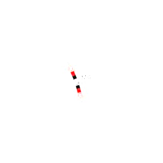 O=[Si]=O.[Mg]